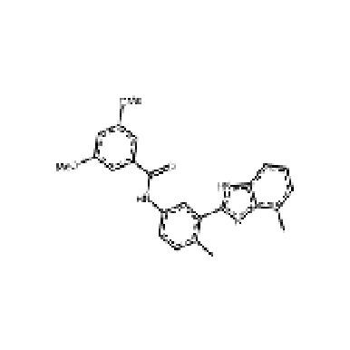 COc1cc(OC)cc(C(=O)Nc2ccc(C)c(-c3nc4c(C)cccc4[nH]3)c2)c1